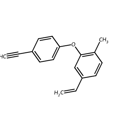 C#Cc1ccc(Oc2cc(C=C)ccc2C)cc1